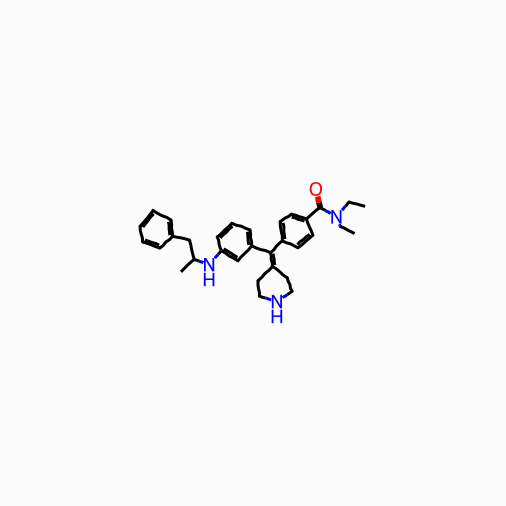 CCN(CC)C(=O)c1ccc(C(=C2CCNCC2)c2cccc(NC(C)Cc3ccccc3)c2)cc1